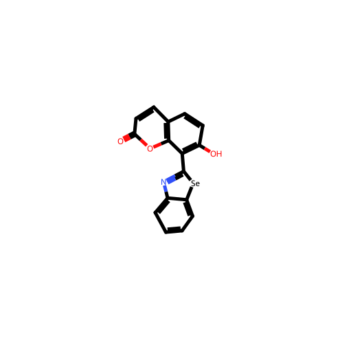 O=c1ccc2ccc(O)c(-c3nc4ccccc4[se]3)c2o1